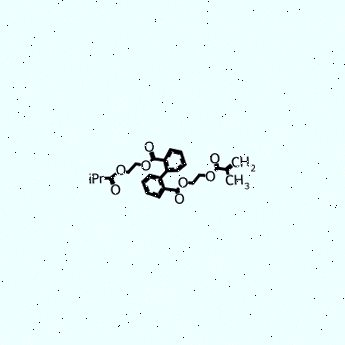 C=C(C)C(=O)OCCOC(=O)c1ccccc1-c1ccccc1C(=O)OCCOC(=O)C(C)C